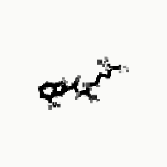 COc1cccc2[nH]c(C(=O)N=C(N)NCCCN(C)C)cc12